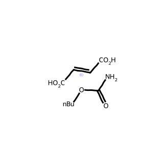 CCCCOC(N)=O.O=C(O)/C=C/C(=O)O